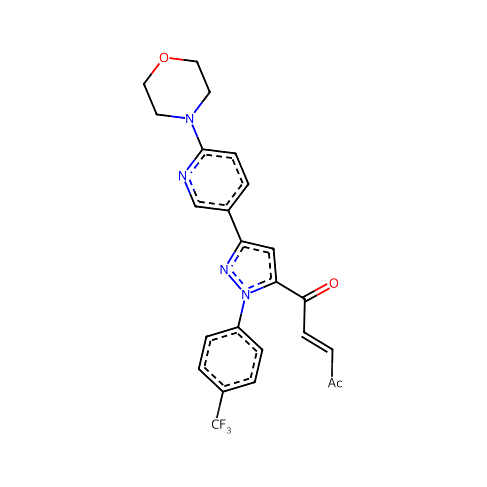 CC(=O)/C=C/C(=O)c1cc(-c2ccc(N3CCOCC3)nc2)nn1-c1ccc(C(F)(F)F)cc1